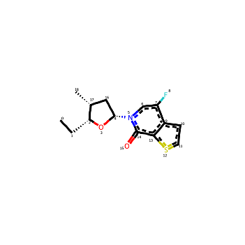 CC[C@H]1O[C@@H](n2cc(F)c3ccsc3c2=O)C[C@H]1C